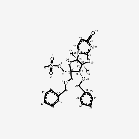 CS(=O)(=O)OC[C@]1(COCc2ccccc2)O[C@@H]2[C@@H](Oc3nc(=O)ccn32)[C@@H]1OCc1ccccc1